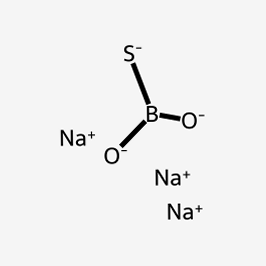 [Na+].[Na+].[Na+].[O-]B([O-])[S-]